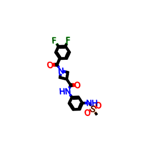 CS(=O)(=O)Nc1cccc(NC(=O)C2CN(C(=O)c3ccc(F)c(F)c3)C2)c1